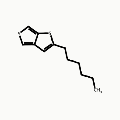 CCCCCCc1cc2cscc2s1